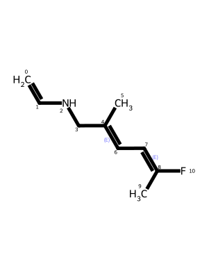 C=CNC/C(C)=C/C=C(\C)F